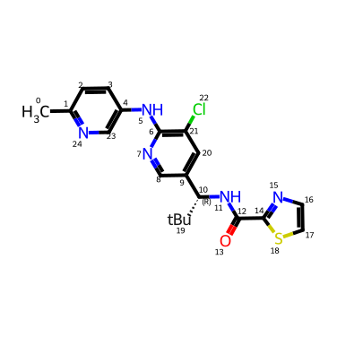 Cc1ccc(Nc2ncc([C@H](NC(=O)c3nccs3)C(C)(C)C)cc2Cl)cn1